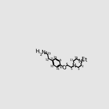 CCN1CCN(CCOc2ccc(CCN)cc2)CC1